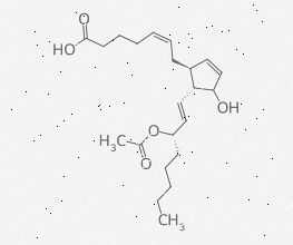 CCCCC[C@@H](/C=C/[C@H]1C(O)C=C[C@@H]1C/C=C\CCCC(=O)O)OC(C)=O